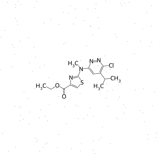 CCOC(=O)c1csc(N(C)c2cc(C(C)C)c(Cl)nn2)n1